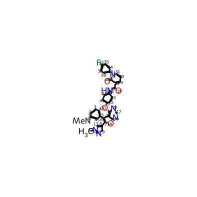 CNc1cccc(-c2c(-c3cnn(C)c3)oc3ncnc(Oc4ccc(NC(=O)c5cccn(-c6ccc(F)cc6)c5=O)cc4)c23)c1